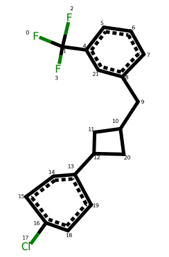 FC(F)(F)c1cccc([CH]C2CC(c3ccc(Cl)cc3)C2)c1